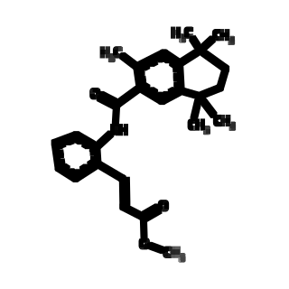 COC(=O)C=Cc1ccccc1NC(=O)c1cc2c(cc1C)C(C)(C)CCC2(C)C